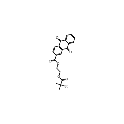 CCC(C)(C)C(=O)OCCOC(=O)c1ccc2c(c1)C(=O)c1ccccc1C2=O